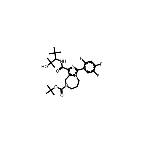 CC(C)(C)OC(=O)N1CCCn2c(-c3cc(F)c(F)cc3F)nc(C(=O)NC(C(C)(C)C)C(C)(C)O)c2C1